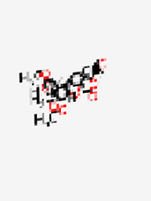 C=C1C2CC[C@@]3(C)[C@H](c4ccoc4)OC(=O)C[C@]13O[C@H]1C[C@H](OC(C)=O)C(C)(C)C(CC(=O)OC)[C@@]21C